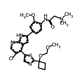 COCOC1(c2ncc(-c3c(Cl)cnc4[nH]c(-c5ccc(NC(=O)CN(C)C)c(OC)c5)cc34)s2)CCC1